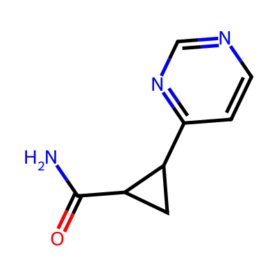 NC(=O)C1CC1c1ccncn1